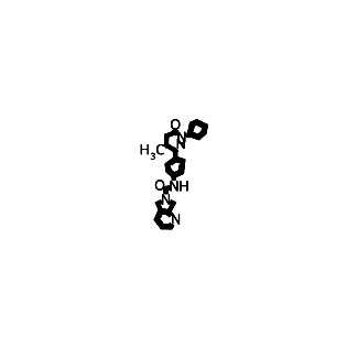 CC1CC(=O)N(c2ccccc2)N=C1c1ccc(NC(=O)N2Cc3cccnc3C2)cc1